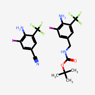 CC(C)(C)OC(=O)NCc1cc(I)c(N)c(C(F)(F)F)c1.N#Cc1cc(I)c(N)c(C(F)(F)F)c1